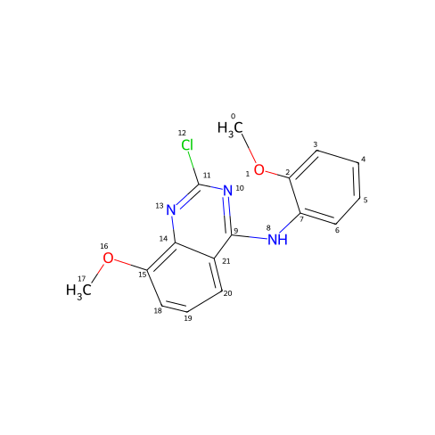 COc1ccccc1Nc1nc(Cl)nc2c(OC)cccc12